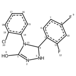 OC1=NNC(c2ccc(F)cc2F)N1c1ccccc1Cl